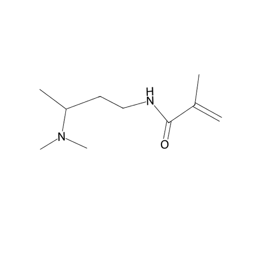 C=C(C)C(=O)NCCC(C)N(C)C